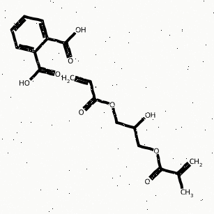 C=CC(=O)OCC(O)COC(=O)C(=C)C.O=C(O)c1ccccc1C(=O)O